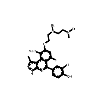 CCN(C)CCN(CC)CCOc1cc(F)c2c(-c3ccc(O)c(Cl)c3)nc3[nH]nc(C)c3c2c1OC